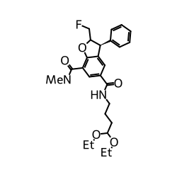 CCOC(CCCNC(=O)c1cc(C(=O)NC)c2c(c1)[C@H](c1ccccc1)C(CF)O2)OCC